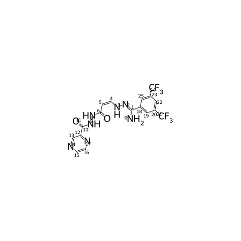 N/C(=N\N/C=C\C(=O)NNC(=O)c1cnccn1)c1cc(C(F)(F)F)cc(C(F)(F)F)c1